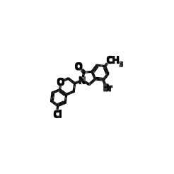 Cc1cc(Br)c2c(c1)C(=O)N(C1COc3ccc(Cl)cc3C1)C2